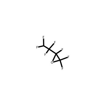 FC(F)C(F)(F)C1(F)OC1(F)F